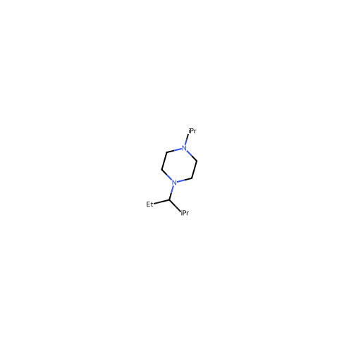 CCC(C(C)C)N1CCN(C(C)C)CC1